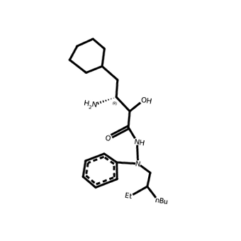 CCCCC(CC)CN(NC(=O)C(O)[C@H](N)CC1CCCCC1)c1ccccc1